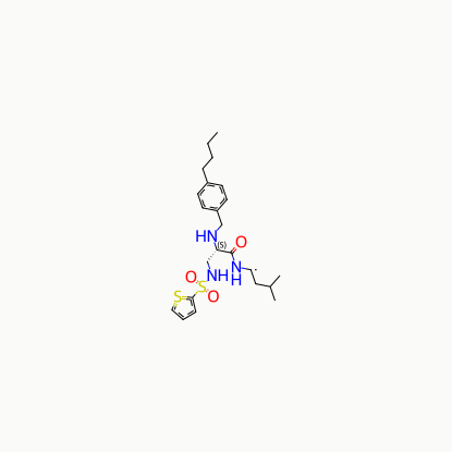 CCCCc1ccc(CN[C@@H](CNS(=O)(=O)c2cccs2)C(=O)N[CH]CC(C)C)cc1